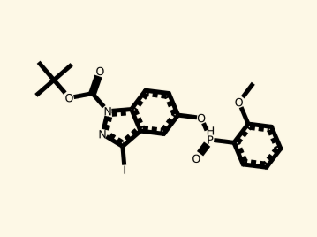 COc1ccccc1[PH](=O)Oc1ccc2c(c1)c(I)nn2C(=O)OC(C)(C)C